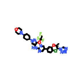 C[C@@H](Cn1cnnn1)Oc1cc(-c2cnc(Nc3cn([C@H]4CC[C@H](N5CCOCC5)CC4)nc3OC(F)(F)CF)nc2)ccc1Cl